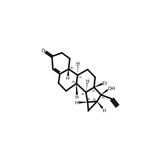 C#C[C@]1(O)[C@@H]2C[C@@H]2[C@H]2[C@@H]3CCC4=CC(=O)CC[C@@H]4[C@H]3CC[C@@]21CC